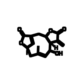 C=C1C(=O)OC2CC3=C[C@@H](C/C(C)=C/C(O)[C@H]12)OC3=O